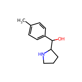 Cc1ccc(C(O)C2CCCN2)cc1